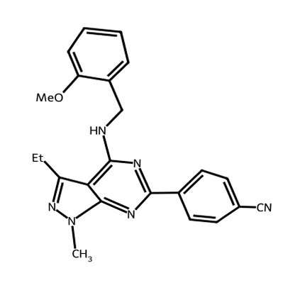 CCc1nn(C)c2nc(-c3ccc(C#N)cc3)nc(NCc3ccccc3OC)c12